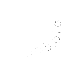 C[C@@H]1CN(c2ccc(Nc3ncc4c(n3)OCN(c3c(Cl)cccc3Cl)C4=O)cc2Cl)CCN1C(=O)OC(C)(C)C